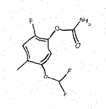 Cc1cc(F)c(OC(N)=O)cc1OC(F)F